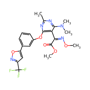 CON=C(C(=O)OC)c1c(Oc2cccc(-c3cc(C(F)(F)F)no3)c2)nc(C)nc1N(C)C